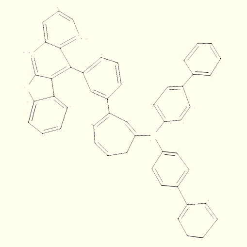 C1=CCC(B(c2ccc(C3=CCCC=C3)cc2)c2ccc(-c3ccccc3)cc2)=CC(c2cccc(-c3c4ncccc4nc4oc5ccccc5c34)c2)=C1